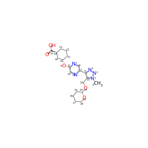 Cn1nnc(-c2cnc(O[C@H]3CCC[C@H](C(=O)O)C3)cn2)c1COC1CCCCO1